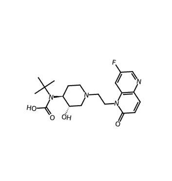 CC(C)(C)N(C(=O)O)[C@H]1CCN(CCn2c(=O)ccc3ncc(F)cc32)C[C@@H]1O